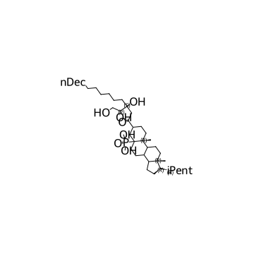 CCCCCCCCCCCCCCCC[C@](O)(CC(=O)C1CC[C@]2(C)C3CC[C@@]4(C)C(CC[C@@H]4[C@H](C)CCC)C3CCC2(P(=O)(O)O)C1)[C@H](O)CO